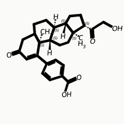 C[C@]12CC[C@H]3[C@@H](CCC4CC(=O)C=C(c5ccc(C(=O)O)cc5)[C@@]43C)[C@@H]1CC[C@@H]2C(=O)CO